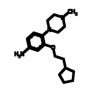 CN1CCN(c2ccc(N)cc2OCCC2CCCC2)CC1